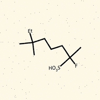 CCC(C)(C)CCCC(C)(F)S(=O)(=O)O